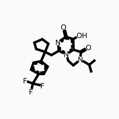 CC(C)N1CCn2c(CC3(c4ccc(C(F)(F)F)cc4)CCCC3)nc(=O)c(O)c2C1=O